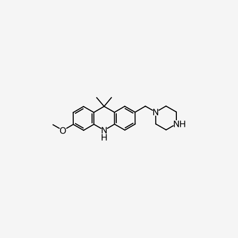 COc1ccc2c(c1)Nc1ccc(CN3CCNCC3)cc1C2(C)C